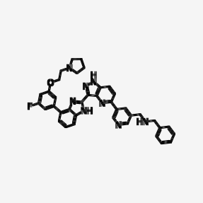 Fc1cc(OCCN2CCCC2)cc(-c2cccc3[nH]c(-c4n[nH]c5ccc(-c6cncc(CNCc7ccccc7)c6)nc45)nc23)c1